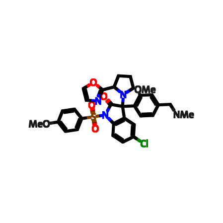 CNCc1ccc(C2(N3CCCC3c3ncco3)C(=O)N(S(=O)(=O)c3ccc(OC)cc3)c3ccc(Cl)cc32)c(OC)c1